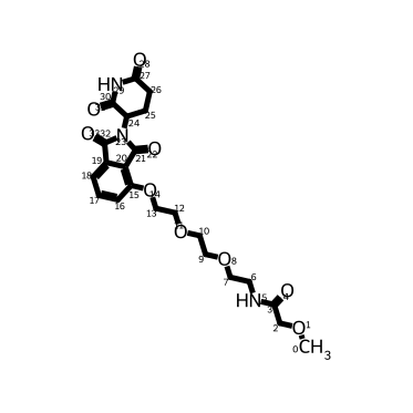 COCC(=O)NCCOCCOCCOc1cccc2c1C(=O)N(C1CCC(=O)NC1=O)C2=O